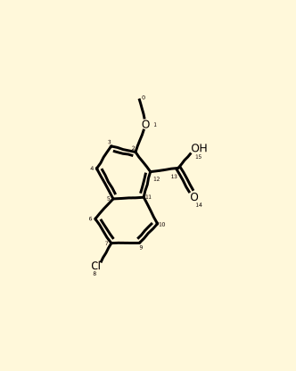 COc1ccc2cc(Cl)ccc2c1C(=O)O